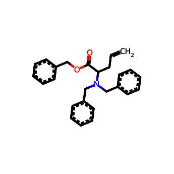 C=CCC(C(=O)OCc1ccccc1)N(Cc1ccccc1)Cc1ccccc1